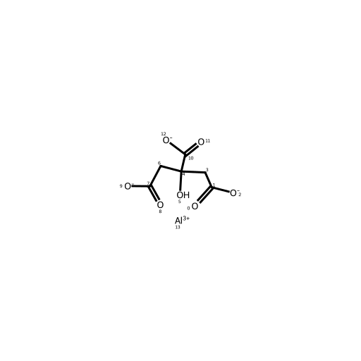 O=C([O-])CC(O)(CC(=O)[O-])C(=O)[O-].[Al+3]